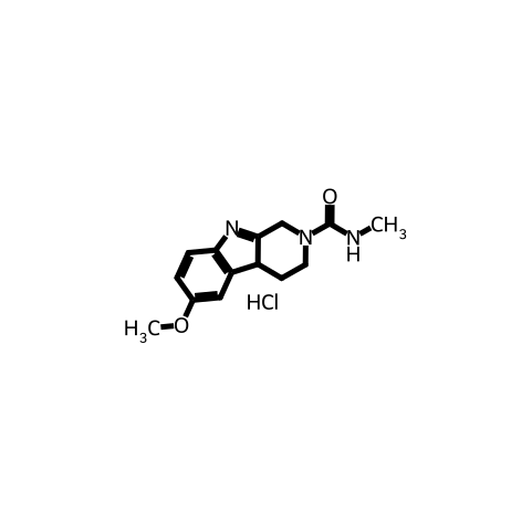 CNC(=O)N1CCC2C(=Nc3ccc(OC)cc32)C1.Cl